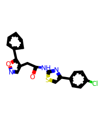 O=C(Cc1cnoc1-c1ccccc1)Nc1nc(-c2ccc(Cl)cc2)cs1